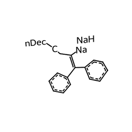 CCCCCCCCCCCC[C]([Na])=C(c1ccccc1)c1ccccc1.[NaH]